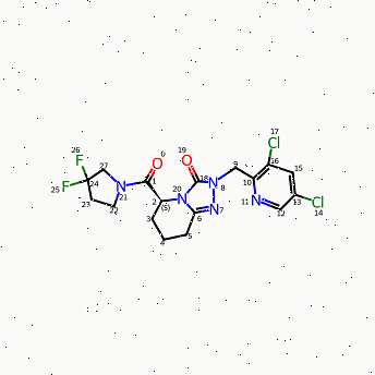 O=C([C@@H]1CCCc2nn(Cc3ncc(Cl)cc3Cl)c(=O)n21)N1CCC(F)(F)C1